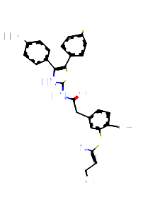 CC/C=C(\N)Sc1cc(CC(=O)NC2NC(c3ccc(C)cc3)=C(c3ccc(F)cc3)S2)ccc1C